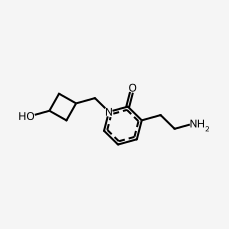 NCCc1cccn(CC2CC(O)C2)c1=O